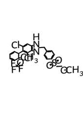 COCCS(=O)(=O)c1ccc(Cc2nc3c(Cl)c(C4C=CC=CC4(C)OC(F)(F)F)c(Cl)cc3[nH]2)cc1